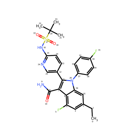 CCc1cc(F)c2c(C(N)=O)c(-c3ccc(NS(=O)(=O)C(C)(C)C)nc3)n(-c3ccc(F)cc3)c2c1